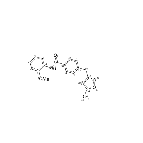 COc1ccccc1NC(=O)c1ccc(Cc2noc(C(F)(F)F)n2)cc1